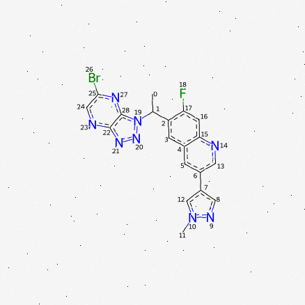 CC(c1cc2cc(-c3cnn(C)c3)cnc2cc1F)n1nnc2ncc(Br)nc21